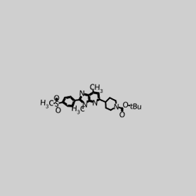 Cc1cc(C2CCN(C(=O)OC(C)(C)C)CC2)nc2c1nc(-c1ccc(S(C)(=O)=O)cc1)n2C